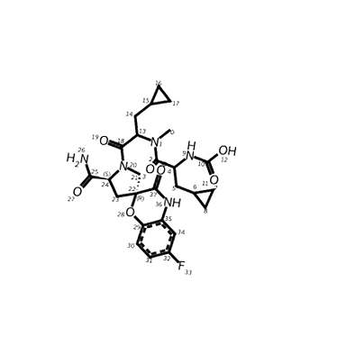 CN(C(=O)C(CC1CC1)NC(=O)O)C(CC1CC1)C(=O)N1C[C@@]2(C[C@H]1C(N)=O)Oc1ccc(F)cc1NC2=O